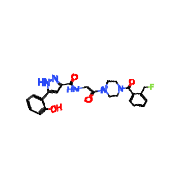 O=C(NCC(=O)N1CCN(C(=O)c2ccccc2CF)CC1)c1cc(-c2ccccc2O)[nH]n1